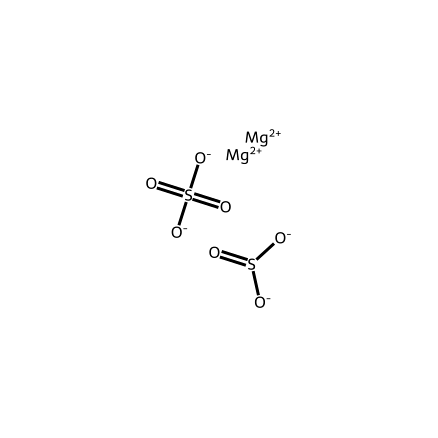 O=S(=O)([O-])[O-].O=S([O-])[O-].[Mg+2].[Mg+2]